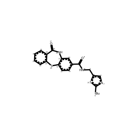 CC(C)(C)c1ncc(CNC(=O)c2ccc3c(c2)NC(=O)c2ccccc2S3)s1